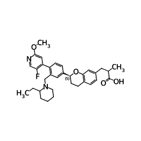 CCC1CCCCN1Cc1cc([C@@H]2CCc3ccc(CC(C)C(=O)O)cc3O2)ccc1-c1cc(OC)ncc1F